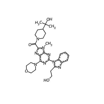 Cn1c(C(=O)N2CCC(C(C)(C)O)CC2)nc2c(N3CCOCC3)nc(-n3c(CCO)nc4ccccc43)nc21